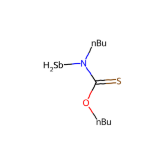 CCCCOC(=S)[N]([SbH2])CCCC